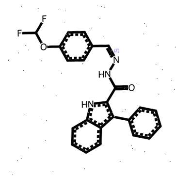 O=C(N/N=C\c1ccc(OC(F)F)cc1)c1[nH]c2ccccc2c1-c1ccccc1